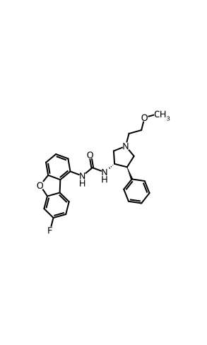 COCCN1C[C@@H](NC(=O)Nc2cccc3oc4cc(F)ccc4c23)[C@H](c2ccccc2)C1